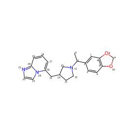 CC(c1ccc2c(c1)OCO2)N1CCC(Cc2cccc3nccn23)C1